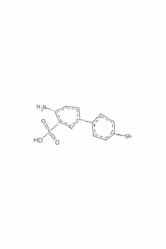 Nc1ccc(-c2ccc(S)cc2)cc1S(=O)(=O)O